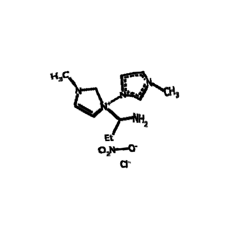 CCC(N)[N+]1([n+]2ccn(C)c2)C=CN(C)C1.O=[N+]([O-])[O-].[Cl-]